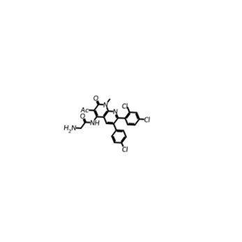 CC(=O)c1c(NC(=O)CN)c2cc(-c3ccc(Cl)cc3)c(-c3ccc(Cl)cc3Cl)nc2n(C)c1=O